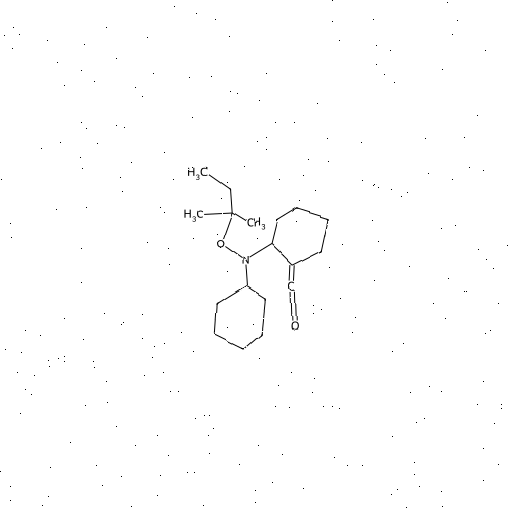 CCC(C)(C)ON(C1CCCCC1)C1CCCCC1=C=O